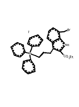 CCOC(=O)c1[nH]c2c(Br)cccc2c1CCC[P+](c1ccccc1)(c1ccccc1)c1ccccc1.[I-]